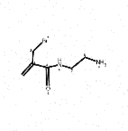 C=C(CBr)C(=O)NCCN